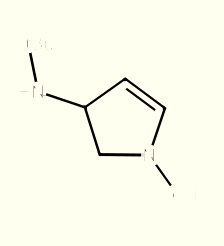 CN1C=CC(NC(C)(C)C)C1